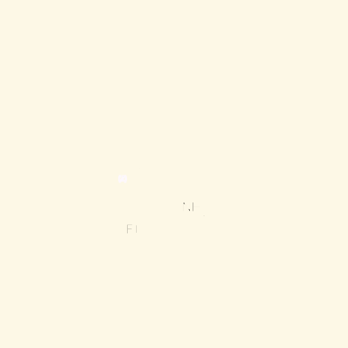 CC/C=C(/C)C(N)=C(C)C